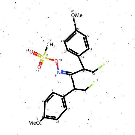 COc1ccc(C(CF)C(=NOS(C)(=O)=O)C(CF)c2ccc(OC)cc2)cc1